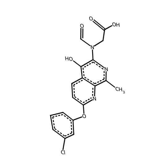 Cc1nc(N(C=O)CC(=O)O)c(O)c2ccc(Oc3cccc(Cl)c3)nc12